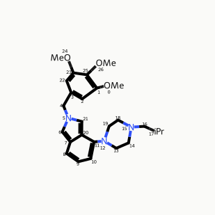 COc1cc(Cn2cc3cccc(N4CCN(CC(C)C)CC4)c3c2)cc(OC)c1OC